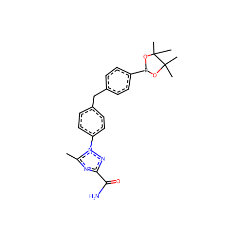 Cc1nc(C(N)=O)nn1-c1ccc(Cc2ccc(B3OC(C)(C)C(C)(C)O3)cc2)cc1